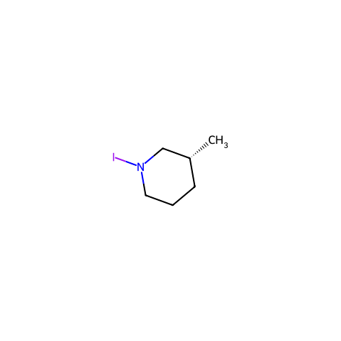 C[C@@H]1CCCN(I)C1